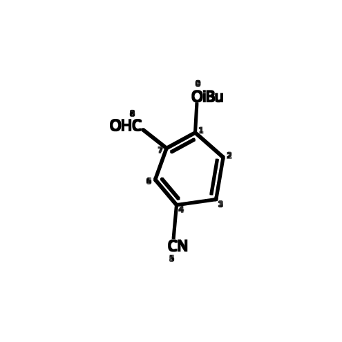 CC(C)COc1ccc(C#N)cc1C=O